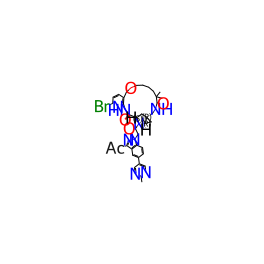 CC(=O)c1nn(CC(=O)N2[C@H]3C[C@@]4(CNC(=O)C(C)(C)CCCCOCc5ccc(Br)nc5NC3=O)C[C@@H]24)c2ccc(-c3cnc(C)nc3)cc12